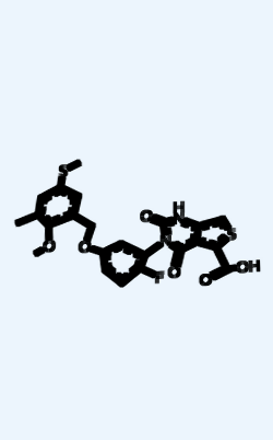 COc1c(C)cc(SC)cc1COc1ccc(F)c(-n2c(=O)[nH]c3csc(C(=O)O)c3c2=O)c1